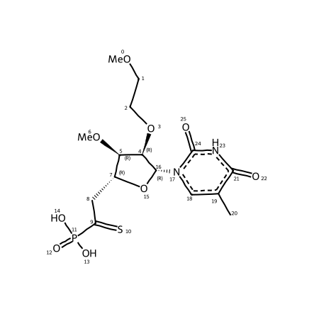 COCCO[C@@H]1[C@H](OC)[C@@H](CC(=S)P(=O)(O)O)O[C@H]1n1cc(C)c(=O)[nH]c1=O